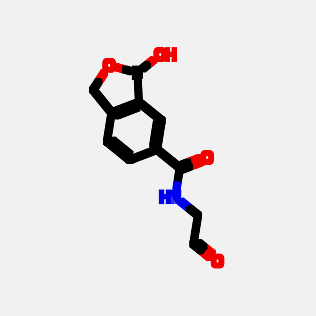 O=CCNC(=O)c1ccc2c(c1)B(O)OC2